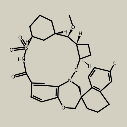 CO[C@@H]1[C@H]2CCC[C@@H](C2)S(=O)(=O)NC(=O)c2ccc3c(c2)N(C[C@@H]2CC[C@H]21)C[C@@]1(CCCc2cc(Cl)ccc21)CO3